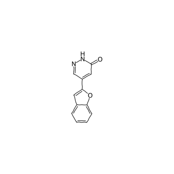 O=c1cc(-c2cc3ccccc3o2)cn[nH]1